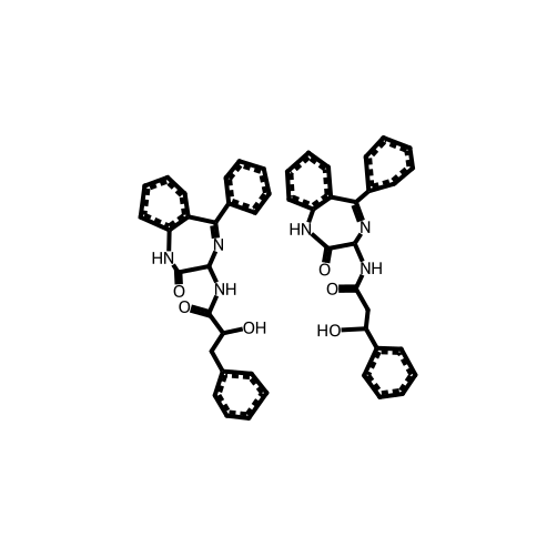 O=C(CC(O)c1ccccc1)NC1N=C(c2ccccc2)c2ccccc2NC1=O.O=C(NC1N=C(c2ccccc2)c2ccccc2NC1=O)C(O)Cc1ccccc1